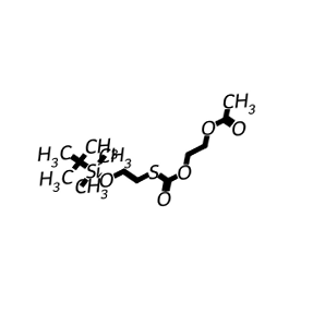 CC(=O)OCCOC(=O)SCCO[Si](C)(C)C(C)(C)C